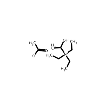 CC(=O)[O-].CC[N+](CC)(CC)C(C)O